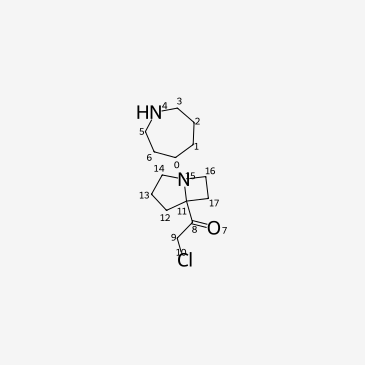 C1CCCNCC1.O=C(CCl)C12CCCN1CC2